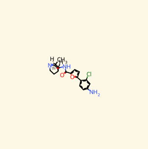 C[C@H]1[C@H](NC(=O)c2ccc(-c3ccc(N)cc3Cl)o2)C2CCN1CC2